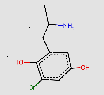 CC(N)Cc1cc(O)cc(Br)c1O